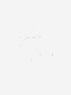 C=C([SiH2]N(CC)CC)c1ccccc1OC(C)(C)C